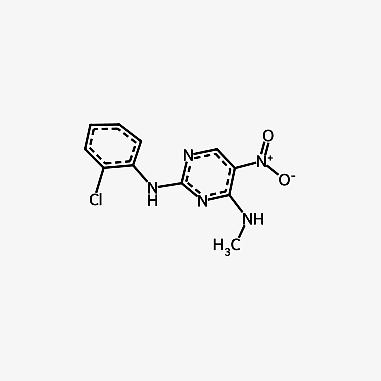 CNc1nc(Nc2ccccc2Cl)ncc1[N+](=O)[O-]